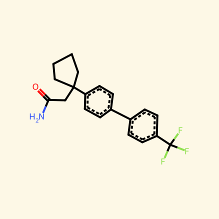 NC(=O)CC1(c2ccc(-c3ccc(C(F)(F)F)cc3)cc2)CCCC1